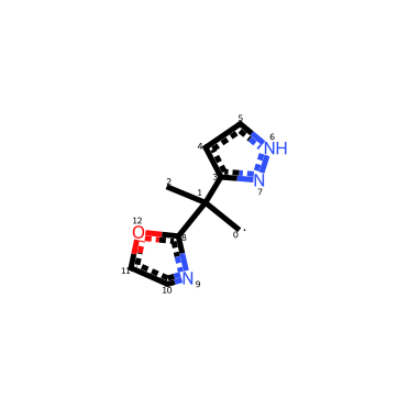 [CH2]C(C)(c1cc[nH]n1)c1ncco1